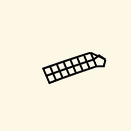 C1C2CC34C1C1C5C6C7C8C9CC%10CC%11C%12C%13C%14C%15C(C23)C14C5%15C6%14C7%13C8%12C%109%11